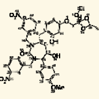 CCO[PH]1(COc2ccc(C[C@@H]3[C@H](O)[C@@H](O)C(c4ccc(OC)cc4)N(Cc4cccc([N+](=O)[O-])c4)C(=O)N3Cc3cccc([N+](=O)[O-])c3)cc2)OC(C)O1